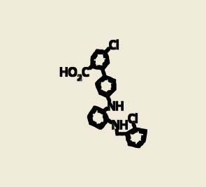 O=C(O)c1ccc(Cl)cc1-c1ccc(Nc2ccccc2NCc2ccccc2Cl)cc1